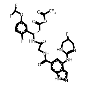 O=C(CNC(=O)c1cc(NC2=NCC(F)CN2)c2cn[nH]c2c1)N[C@@H](CC(=O)OC(=O)C(F)(F)F)c1cc(OC(F)F)ccc1F